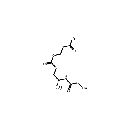 CC(C)C(=O)OCOC(=O)SC[C@H](NC(=O)OC(C)(C)C)C(=O)O